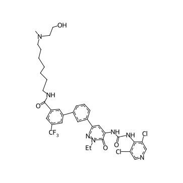 CCn1nc(-c2cccc(-c3cc(C(=O)NCCCCCCCN(C)CCO)cc(C(F)(F)F)c3)c2)cc(NC(=O)Nc2c(Cl)cncc2Cl)c1=O